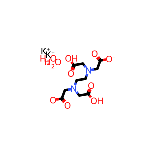 O.O.O=C([O-])CN(CCN(CC(=O)[O-])CC(=O)O)CC(=O)O.[K+].[K+]